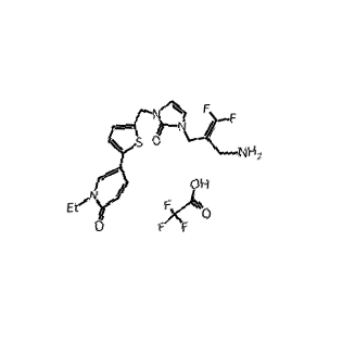 CCn1cc(-c2ccc(Cn3ccn(CC(CN)=C(F)F)c3=O)s2)ccc1=O.O=C(O)C(F)(F)F